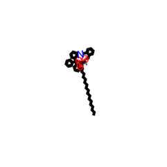 CCCCCCCCCCCCCCCCCCO[C@@H](OC(c1ccccc1)(c1ccccc1)c1ccccc1)[C@@H](C)OCc1ccccc1C#N